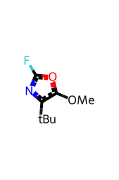 COc1oc(F)nc1C(C)(C)C